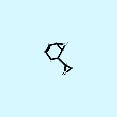 C1=CC2OC2C(C2CO2)C1